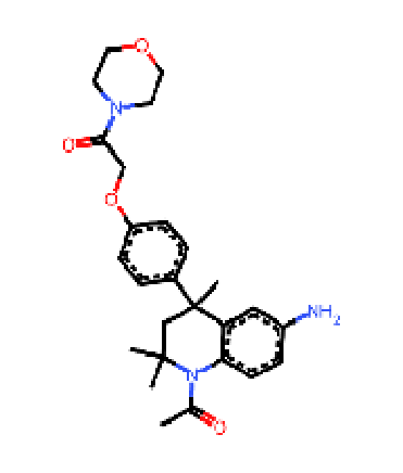 CC(=O)N1c2ccc(N)cc2C(C)(c2ccc(OCC(=O)N3CCOCC3)cc2)CC1(C)C